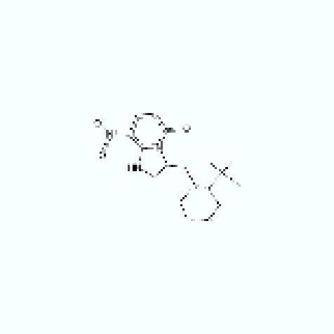 CC(C)(C)C1C[CH]CCN1CC1CNc2c([N+](=O)[O-])ccc(=O)n21